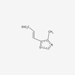 CCOC(=O)C=Cc1scnc1C